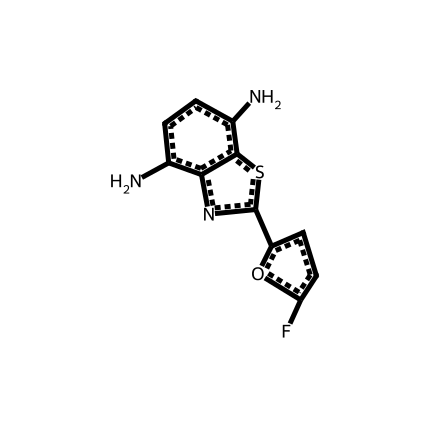 Nc1ccc(N)c2sc(-c3ccc(F)o3)nc12